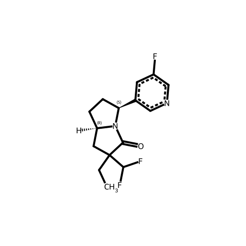 CCC1(C(F)F)C[C@H]2CC[C@@H](c3cncc(F)c3)N2C1=O